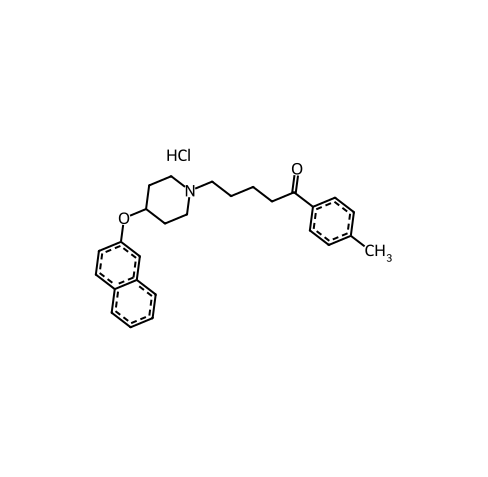 Cc1ccc(C(=O)CCCCN2CCC(Oc3ccc4ccccc4c3)CC2)cc1.Cl